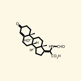 C[C@]12CCC(=O)C=C1CC[C@H]1[C@@H]3CC/C(=C(/NC=O)C(=O)O)[C@@]3(C)CC[C@@]12O